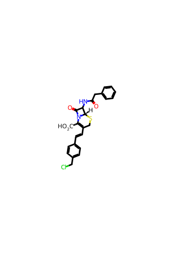 O=C(Cc1ccccc1)NC1C(=O)N2C(C(=O)O)=C(C=Cc3ccc(CCl)cc3)CS[C@@H]12